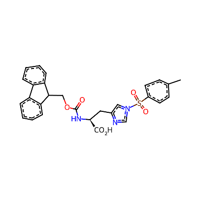 Cc1ccc(S(=O)(=O)n2cnc(C[C@H](NC(=O)OCC3c4ccccc4-c4ccccc43)C(=O)O)c2)cc1